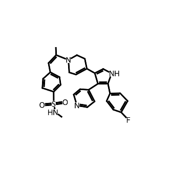 CNS(=O)(=O)c1ccc(C=C(C)N2CC=C(c3c[nH]c(-c4ccc(F)cc4)c3-c3ccncc3)CC2)cc1